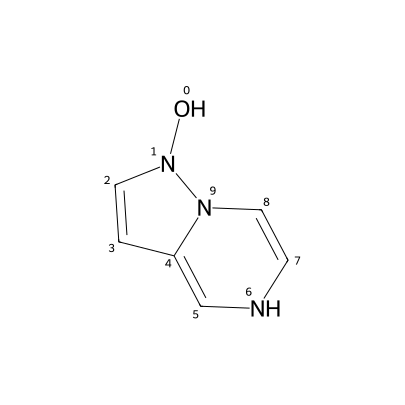 ON1C=CC2=CNC=CN21